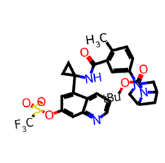 Cc1ccc(N2CC3CC(C2)N3C(=O)OC(C)(C)C)cc1C(=O)NC1(c2cc(OS(=O)(=O)C(F)(F)F)cc3ncccc23)CC1